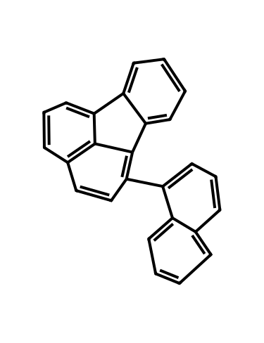 c1ccc2c(c1)-c1cccc3ccc(-c4cccc5ccccc45)c-2c13